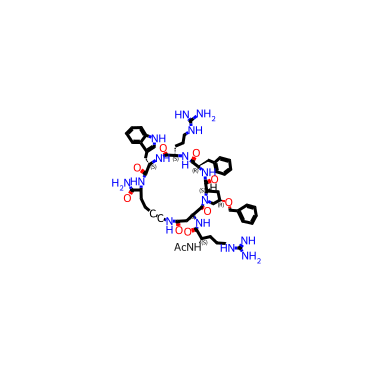 CC(=O)N[C@@H](CCCNC(=N)N)C(=O)N[C@H]1CC(=O)NCCCCC(C(N)=O)NC(=O)[C@H](Cc2c[nH]c3ccccc23)NC(=O)[C@H](CCCNC(=N)N)NC(=O)[C@@H](Cc2ccccc2)NC(=O)[C@@H]2C[C@@H](OCc3ccccc3)CN2C1=O